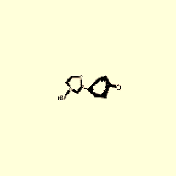 CC(C)(C)N1CCO[C@@H](c2ccc(Cl)cc2)C1